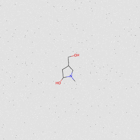 CN1CC(CO)CC1O